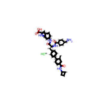 Cc1cc(C(=O)NC2CCC2)ccc1-c1ccc(C[C@H](NC(=O)C2CCC(CN)CC2)C(=O)Nc2ccc3cc(C(=O)O)[nH]c3c2)cc1.Cl